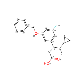 CC(C1CC1)[C@H](CC(=O)O)c1cc(F)cc(OCc2ccccc2)c1